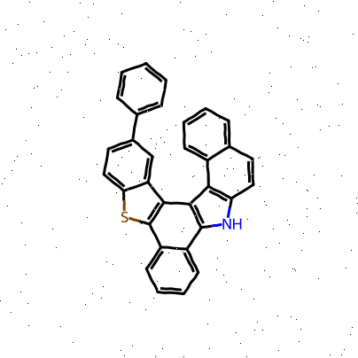 c1ccc(-c2ccc3sc4c5ccccc5c5[nH]c6ccc7ccccc7c6c5c4c3c2)cc1